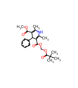 COC(=O)C1=C(C)NC(C)=C(C(=O)OCOC(=O)C(C)(C)C)C1c1ccccc1